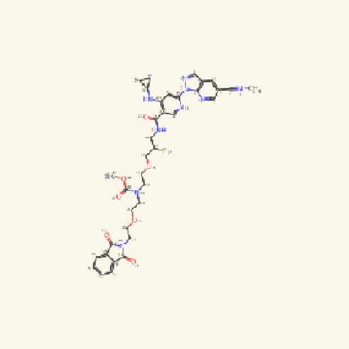 C[N+]#Cc1cnc2c(cnn2-c2cc(NC3CC3)c(C(=O)NCC(F)COCCN(CCOCCN3C(=O)c4ccccc4C3=O)C(=O)OC(C)(C)C)cn2)c1